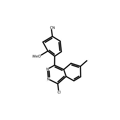 COc1cc(C#N)ccc1-c1nnc(Cl)c2ccc(C)cc12